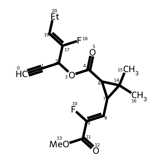 C#CC(OC(=O)C1C(C=C(F)C(=O)OC)C1(C)C)C(F)=CCC